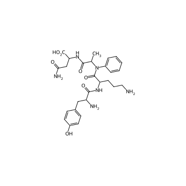 CC(C(=O)NC(CC(N)=O)C(=O)O)N(C(=O)C(CCCN)NC(=O)C(N)Cc1ccc(O)cc1)c1ccccc1